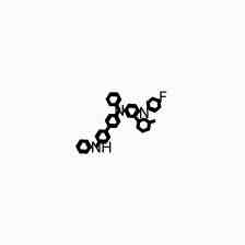 CC1CCCC2c3cc(N(C4=CC=CCC4)c4ccc(-c5ccc(Nc6ccccc6)cc5)cc4)ccc3N(C3=CCC(F)CC3)C12